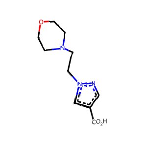 O=C(O)c1cnn(CCN2CCOCC2)c1